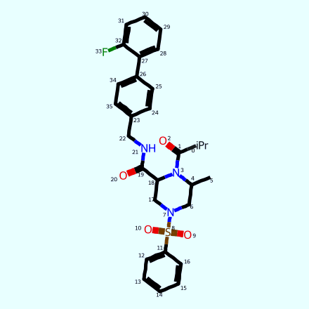 CC(C)C(=O)N1C(C)CN(S(=O)(=O)c2ccccc2)CC1C(=O)NCc1ccc(-c2ccccc2F)cc1